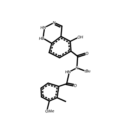 COc1cccc(C(=O)NN(C(=O)c2ccc3c(c2O)C=NNB3)C(C)(C)C)c1C